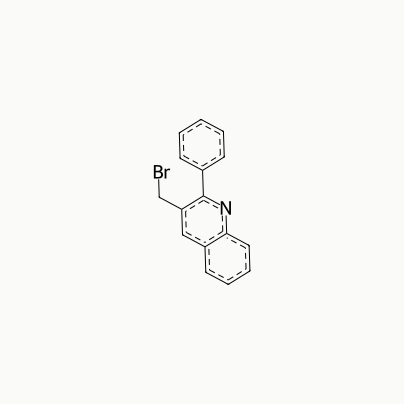 BrCc1cc2ccccc2nc1-c1ccccc1